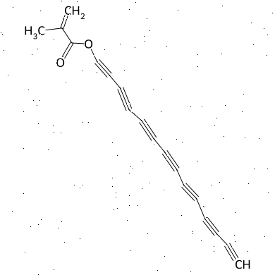 C#CC#CC#CC#CC#CC#CC#COC(=O)C(=C)C